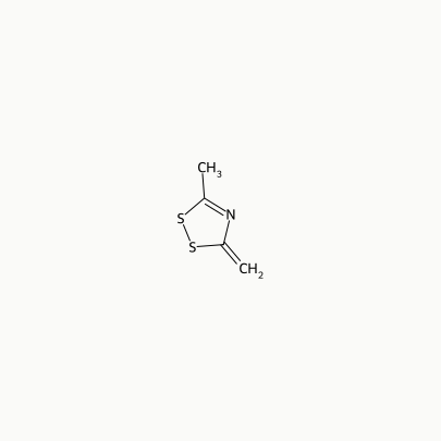 C=C1N=C(C)SS1